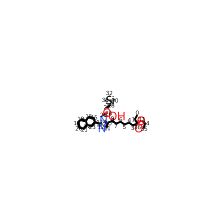 CCC1(CCCCCC(O)c2cnc(-c3ccc4ccccc4c3)n2COCC[Si](C)(C)C)OCCO1